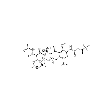 COc1c(NC(=O)CNC(C)(C)C)cc(N(C)C)c2c1C(=O)C1=C(O)[C@]3(O)C(=O)C(C(=O)NC(C)=O)=C(OC(C)=O)[C@@H](N(C)C)[C@@H]3C[C@@H]1C2